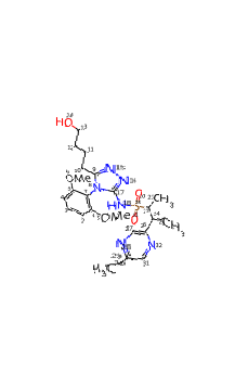 COc1cccc(OC)c1-n1c(CCCCO)nnc1NS(=O)(=O)C(C)C(C)c1cnc(C)cn1